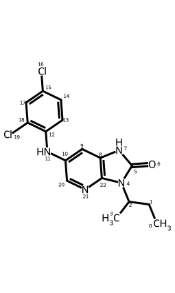 CCC(C)n1c(=O)[nH]c2cc(Nc3ccc(Cl)cc3Cl)cnc21